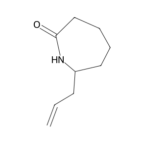 C=CCC1CCCCC(=O)N1